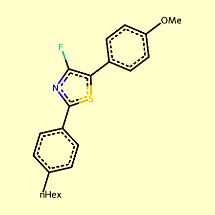 CCCCCCc1ccc(-c2nc(F)c(-c3ccc(OC)cc3)s2)cc1